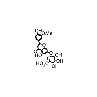 COc1cc(-c2cc(=O)c3c(O)cc(O[C@@H]4O[C@H](C(=O)O)[C@@H](O)[C@H](O)[C@H]4O)cc3o2)ccc1O